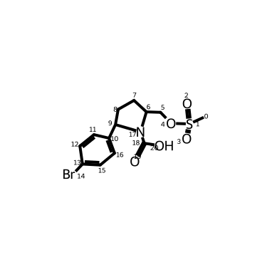 CS(=O)(=O)OCC1CCC(c2ccc(Br)cc2)N1C(=O)O